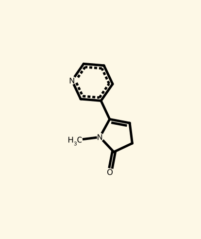 CN1C(=O)CC=C1c1cccnc1